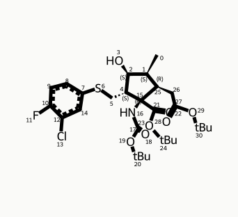 C[C@@H]1[C@H](O)[C@@H](CSc2ccc(F)c(Cl)c2)[C@@](NC(=O)OC(C)(C)C)(C(=O)OC(C)(C)C)[C@@H]1CC(=O)OC(C)(C)C